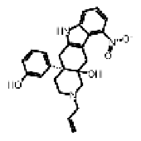 C=CCN1CC[C@@]2(c3cccc(O)c3)Cc3[nH]c4cccc([N+](=O)[O-])c4c3C[C@]2(O)C1